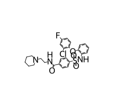 O=C(NCCN1CCCCC1)c1ccc(S(=O)(=O)Nc2ccccc2Oc2ccc(F)cc2Cl)cc1